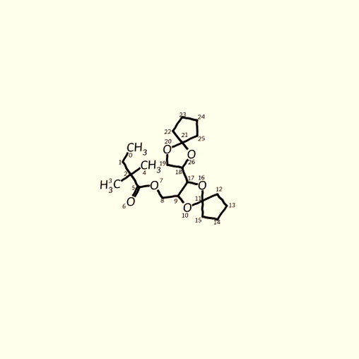 CCC(C)(C)C(=O)OCC1OC2(CCCC2)OC1C1COC2(CCCC2)O1